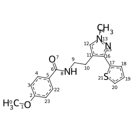 COc1ccc(C(=O)NCCc2cn(C)nc2-c2cccs2)cc1